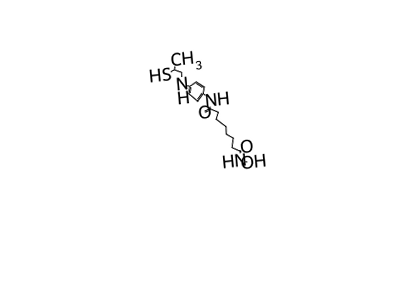 CC(S)CNc1ccc(NC(=O)CCCCCCC(=O)NO)cc1